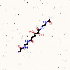 CCC(=O)NCCNC(=O)[C@@H](O)[C@H](O)CCC(=O)NCCNC(=O)CI